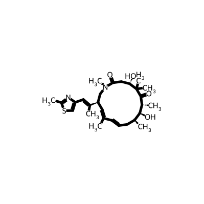 CC1=C\[C@@H](/C(C)=C/c2csc(C)n2)CN(C)C(=O)C[C@H](O)C(C)(C)C(=O)[C@H](C)[C@@H](O)[C@@H](C)C\C=C\1